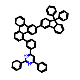 C1=CCCC(c2nc(-c3ccccc3)cc(-c3cccc(-c4cccc5c6c(c7cc(C8=CCC9C(=C8)C8C=CC=CC8C9(c8ccccc8)c8ccccc8)ccc7c45)C=CCC6)c3)n2)=C1